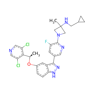 C[C@@H](Oc1ccc2[nH]nc(-c3cnc(N4CC(C)(NCC5CC5)C4)c(F)c3)c2c1)c1c(Cl)cncc1Cl